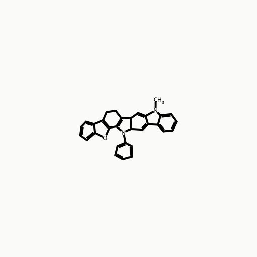 Cn1c2c(c3ccccc31)=CC1C(C=2)C2=C(c3oc4ccccc4c3CC2)N1c1ccccc1